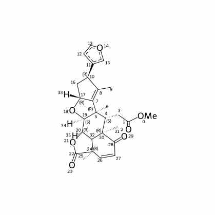 COC(=O)C[C@H]1[C@]2(C)C3=C(C)[C@H](c4ccoc4)C[C@H]3O[C@@H]2[C@@H]2OC(=O)[C@]3(C)C=CC(=O)[C@@]1(C)C23